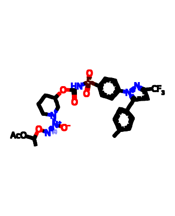 CC(=O)OC(C)O/N=[N+](/[O-])N1CCCC(OC(=O)NS(=O)(=O)c2ccc(-n3nc(C(F)(F)F)cc3-c3ccc(C)cc3)cc2)C1